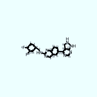 Fc1ccc(CNc2ncc3cc(-c4ncnc5c4CNN5)ccc3n2)cc1F